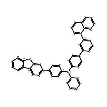 c1ccc(N(c2ccc(-c3cccc(-c4cccc5ccccc45)c3)cc2)c2ccc(-c3ccc4c(c3)oc3ccccc34)cc2)cc1